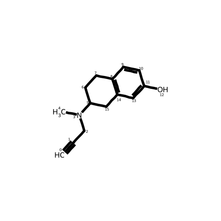 C#CCN(C)C1CCc2ccc(O)cc2C1